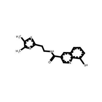 Cc1nc(CCNC(=O)c2cnc3c(S)cccc3c2)sc1C